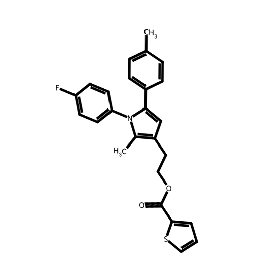 Cc1ccc(-c2cc(CCOC(=O)c3cccs3)c(C)n2-c2ccc(F)cc2)cc1